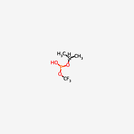 C[SiH](C)OP(O)OC(F)(F)F